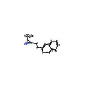 CCOC(=O)C1N=C1CCc1ccc2ccccc2c1